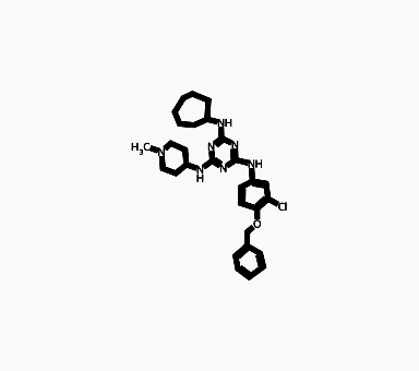 CN1CCC(Nc2nc(Nc3ccc(OCc4ccccc4)c(Cl)c3)nc(NC3CCCCCC3)n2)CC1